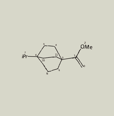 C=C(OC)C12CCC(C(C)C)(CC1)CC2